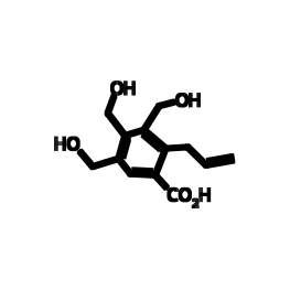 C=CCc1c(C(=O)O)cc(CO)c(CO)c1CO